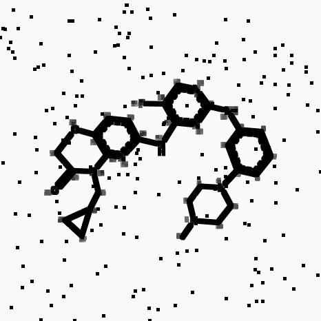 CN1CCN(c2cccc(Nc3ncc(F)c(Nc4ccc5c(n4)N(CC4CC4)C(=O)CO5)n3)c2)CC1